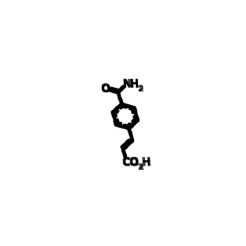 NC(=O)c1ccc(C=CC(=O)O)cc1